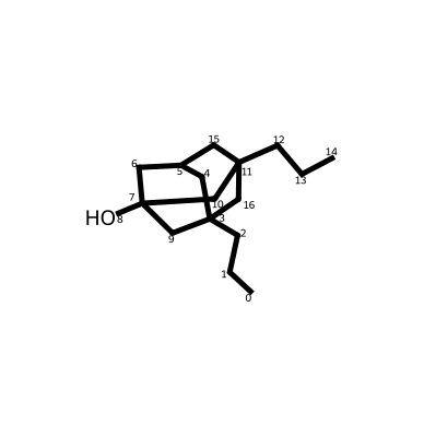 CCCC12CC3CC(O)(C1)CC(CCC)(C3)C2